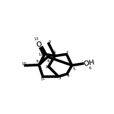 CC12CC3CC(O)(C1)CC(C)(C3)C2=O